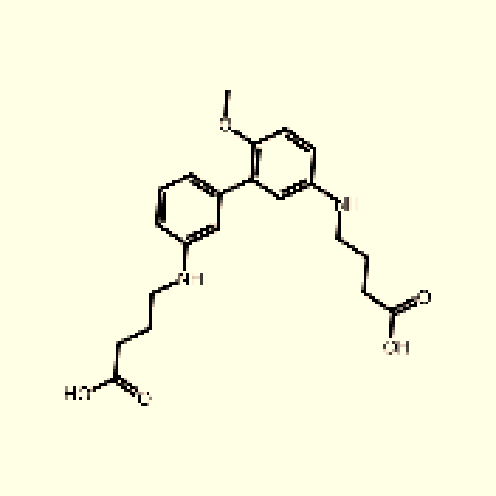 COc1ccc(NCCCC(=O)O)cc1-c1cccc(NCCCC(=O)O)c1